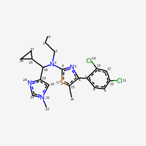 CCCN(c1nc(-c2ccc(Cl)cc2Cl)c(C)s1)C(c1cn(C)cn1)C1CC1